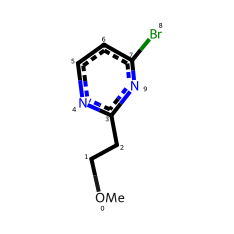 COCCc1nc[c]c(Br)n1